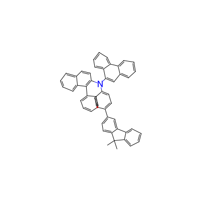 CC1(C)c2ccccc2-c2cc(-c3ccc(N(c4ccc5ccccc5c4-c4ccccc4)c4cc5ccccc5c5ccccc45)cc3)ccc21